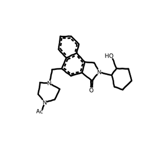 CC(=O)N1CCN(Cc2cc3c(c4ccccc24)CN(C2CCCCC2O)C3=O)CC1